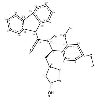 COc1ccc([C@@H](CN2CC[C@H](O)C2)N(C)C(=O)C2c3ccccc3-c3ccccc32)c(OC)c1